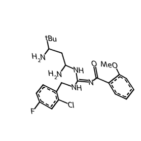 COc1ccccc1C(=O)/N=C(/NCc1ccc(F)cc1Cl)NC(N)CC(N)C(C)(C)C